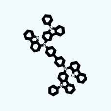 C1=C(N(c2ccc(-c3ccc(N(c4ccc5c(c4)c4ccccc4n5-c4ccccc4)c4cccc5c4oc4ccccc45)cc3)cc2)c2ccc3c(c2)c2ccccc2n3-c2ccccc2)c2oc3ccccc3c2CC1